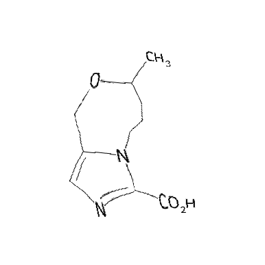 CC1Cn2c(cnc2C(=O)O)CO1